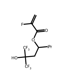 C=C(F)C(=O)OC(CC(O)(C(F)(F)F)C(F)(F)F)C(C)C